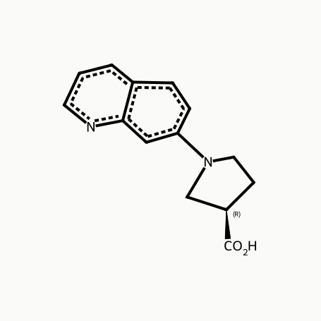 O=C(O)[C@@H]1CCN(c2ccc3cccnc3c2)C1